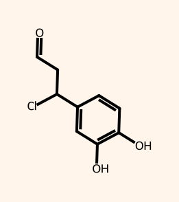 O=CCC(Cl)c1ccc(O)c(O)c1